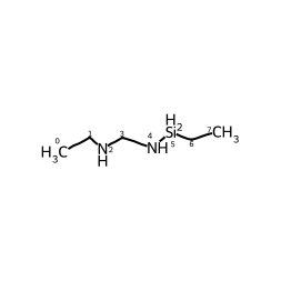 CCNCN[SiH2]CC